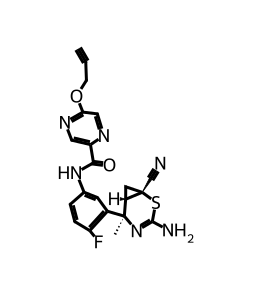 C#CCOc1cnc(C(=O)Nc2ccc(F)c([C@]3(C)N=C(N)S[C@@]4(C#N)C[C@@H]34)c2)cn1